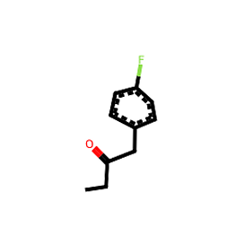 CCC(=O)Cc1ccc(F)cc1